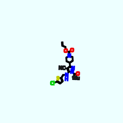 C=CCOC(=O)N1CCC(c2nn(C(=O)C(C)(C)C)c(NCc3ccc(Cl)s3)c2C#N)CC1